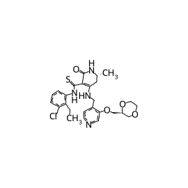 CCc1c(Cl)cccc1NC(=S)C1=C(NCc2ccncc2OC[C@@H]2COCCO2)C[C@@H](C)NC1=O